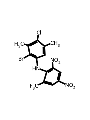 Cc1cc(Nc2c([N+](=O)[O-])cc([N+](=O)[O-])cc2C(F)(F)F)c(Br)c(C)c1Cl